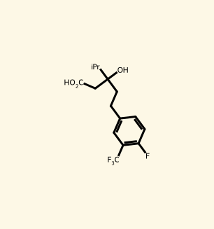 CC(C)C(O)(CCc1ccc(F)c(C(F)(F)F)c1)CC(=O)O